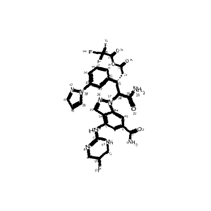 NC(=O)c1cc(NC2=NCC(F)CN2)c2cnn(C(C(N)=O)[C@@H](CC(=O)OC(=O)C(F)(F)F)c3cccc(-n4cccn4)c3)c2c1